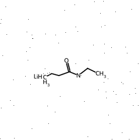 CCCC(=O)[N]CC.[LiH]